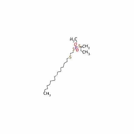 CCCCCCCCCCCCCCCCSCCSP(=O)(OCC)S[C@@H](C)CC